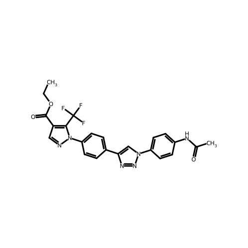 CCOC(=O)c1cnn(-c2ccc(-c3cn(-c4ccc(NC(C)=O)cc4)nn3)cc2)c1C(F)(F)F